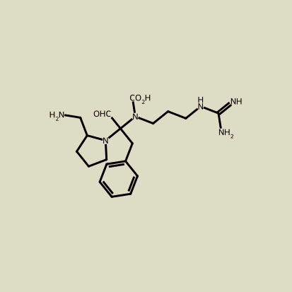 N=C(N)NCCCN(C(=O)O)C(C=O)(Cc1ccccc1)N1CCCC1CN